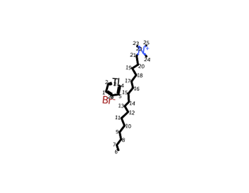 C1=C[CH]=[Tl][CH]=C1.CCCCCCCCCCCCCCCC[N+](C)(C)C.[Br-]